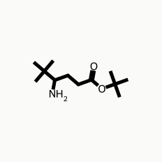 CC(C)(C)OC(=O)CCC(N)C(C)(C)C